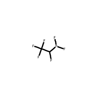 FC(P(F)F)C(F)(F)F